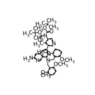 COc1cccc(OC)c1CN(Cc1c(OC)cccc1OC)c1nc(-c2cncc(N(C(=O)OC(C)(C)C)C(=O)OC(C)(C)C)c2C)cc2cc(N)ncc12